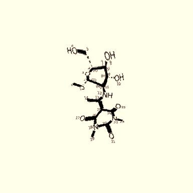 CS[C@@H]1O[C@H](CO)[C@@H](O)[C@H](O)[C@H]1NC(C)=C1C(=O)N(C)C(=O)N(C)C1=O